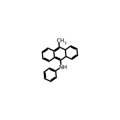 CC1=c2ccccc2=C(Nc2ccccc2)C2C=CC=CC12